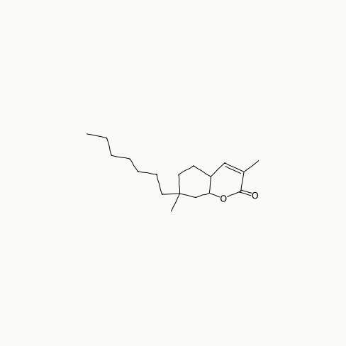 CCCCCCCC1(C)CCC2C=C(C)C(=O)OC2C1